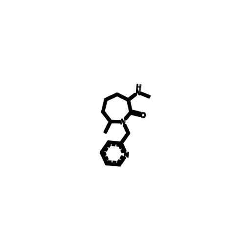 CNC1CCCC(C)N(Cc2ccccn2)C1=O